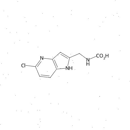 O=C(O)NCc1cc2nc(Cl)ccc2[nH]1